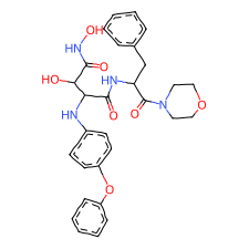 O=C(NO)C(O)C(Nc1ccc(Oc2ccccc2)cc1)C(=O)NC(Cc1ccccc1)C(=O)N1CCOCC1